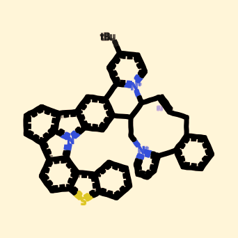 CC(C)(C)c1cc[n+]2c(c1)-c1cc3c4cccc5c6ccc7sc8ccccc8c7c6n(c3cc1C1C[n+]3ccccc3-c3ccccc3C/C=C/C12)c45